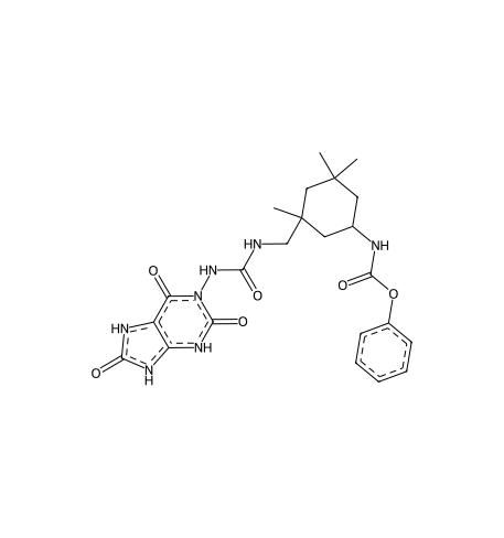 CC1(C)CC(NC(=O)Oc2ccccc2)CC(C)(CNC(=O)Nn2c(=O)[nH]c3[nH]c(=O)[nH]c3c2=O)C1